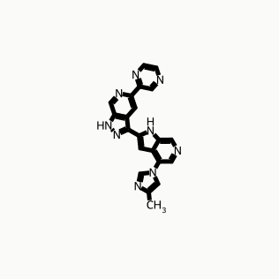 Cc1cn(-c2cncc3[nH]c(-c4n[nH]c5cnc(-c6cnccn6)cc45)cc23)cn1